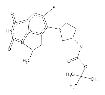 CC1Cc2c(N3CC[C@H](NC(=O)OC(C)(C)C)C3)c(F)cc3c(=O)[nH]c(=O)n1c23